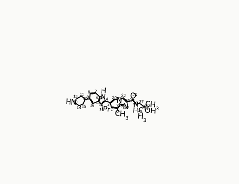 Cc1cc(-c2[nH]c3ccc(C4CCNCC4)cc3c2C(C)C)cn2cc(C(=O)NCC(C)(C)O)nc12